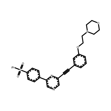 CC(C)S(=O)(=O)c1ccc(-c2cncc(C#Cc3cccc(OCCN4CCOCC4)c3)n2)cc1